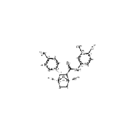 Nc1ccc([C@@H]2[C@@H](C(=O)Nc3ccc(Cl)c(Cl)c3)[C@H]3CC[C@@H]2O3)cn1